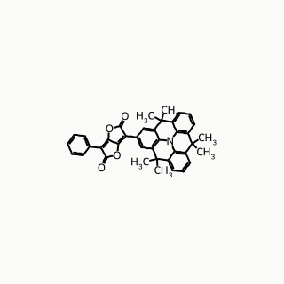 CC1(C)c2cccc3c2N2c4c1cccc4C(C)(C)c1cc(C4=C5OC(=O)C(c6ccccc6)=C5OC4=O)cc(c12)C3(C)C